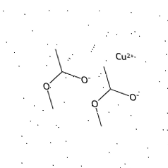 COC(C)[O-].COC(C)[O-].[Cu+2]